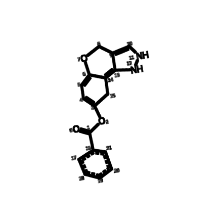 O=C(OC1=CC=C2OCC3=CNNC3=C2C1)c1ccccc1